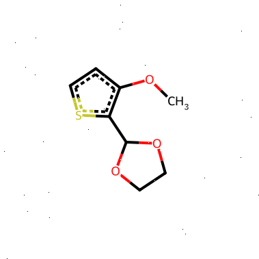 COc1ccsc1C1OCCO1